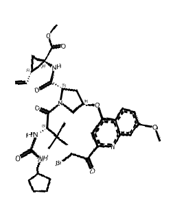 C=C[C@@H]1C[C@]1(NC(=O)[C@@H]1C[C@@H](Oc2cc(C(=O)CBr)nc3cc(OC)ccc23)CN1C(=O)[C@@H](NC(=O)NC1CCCC1)C(C)(C)C)C(=O)OC